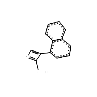 O=C(O)C1=NC=C1c1cccc2ccccc12